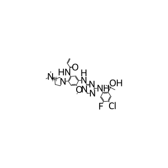 C=CC(=O)Nc1cc(Nc2ncnc(Nc3cc(F)c(Cl)cc3C(C)(C)O)n2)c(OC)cc1N1CC[C@@H](N(C)C)C1